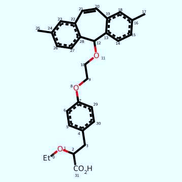 CCOC(Cc1ccc(OCCOC2c3ccc(C)cc3C=Cc3cc(C)ccc32)cc1)C(=O)O